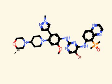 COc1cc(N2CCC(N3CCO[C@@H](C)C3)CC2)c(-c2cnn(C)c2)cc1Nc1ncc(Br)c(Nc2ccc3nccnc3c2P(C)(C)=O)n1